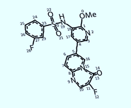 COc1ncc(-c2ccc3ncc(F)c(=O)n3c2)cc1NS(=O)(=O)c1cccc(F)c1